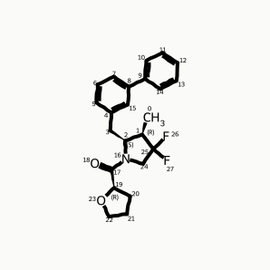 C[C@@H]1[C@H](Cc2cccc(-c3ccccc3)c2)N(C(=O)[C@H]2CCCO2)CC1(F)F